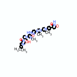 C[C@H]1C[C@@H](N2CCN(c3ccc(Nc4cc(N5CCCC(N6CCn7c(cc8c7CC(C)(C)C8)C6=O)C5CO)cn(C)c4=O)nc3)[C@@H](C)C2)CCN1c1ccc(C2CCC(=O)NC2=O)cc1